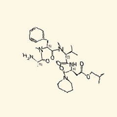 CC(C)COC(=O)C[C@H](NC(=O)[C@H](C(C)C)N(C)C(=O)[C@H](Cc1ccccc1)N(C)C(=O)[C@H](C)N)C(=O)N1CCCCC1